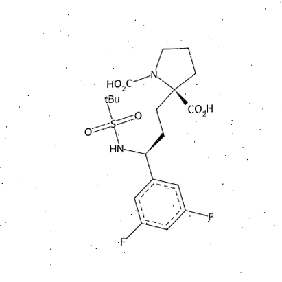 CC(C)(C)S(=O)(=O)N[C@@H](CC[C@@]1(C(=O)O)CCCN1C(=O)O)c1cc(F)cc(F)c1